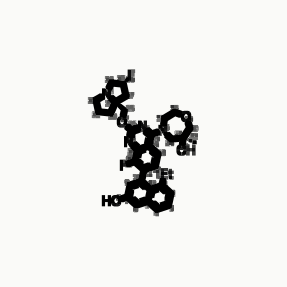 CCc1cccc2cc(O)cc(-c3ccc4c(N5CCOC[C@@](C)(O)C5)nc(OC[C@@]56CCCN5C[C@H](F)C6)nc4c3F)c12